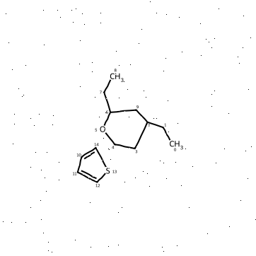 CCC1CCOC(CC)C1.c1ccsc1